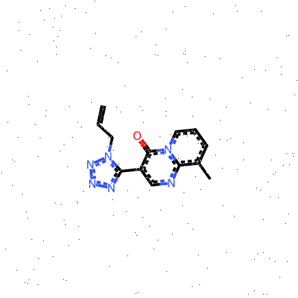 C=CCn1nnnc1-c1cnc2c(C)cccn2c1=O